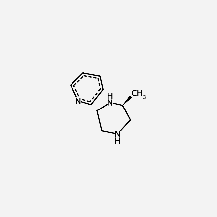 C[C@H]1CNCCN1.c1ccncc1